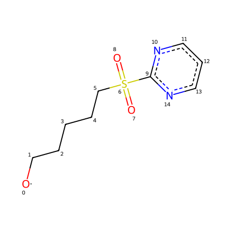 [O]CCCCCS(=O)(=O)c1ncccn1